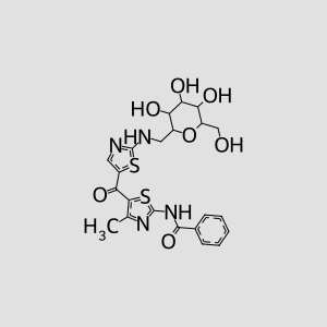 Cc1nc(NC(=O)c2ccccc2)sc1C(=O)c1cnc(NCC2OC(CO)C(O)C(O)C2O)s1